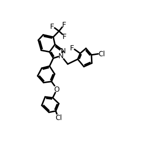 Fc1cc(Cl)ccc1Cn1nc2c(C(F)(F)F)cccc2c1-c1cccc(Oc2cccc(Cl)c2)c1